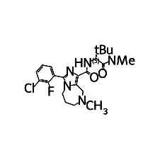 CNC(=O)[C@@H](NC(=O)c1nc(-c2cccc(Cl)c2F)n2c1CN(C)CCC2)C(C)(C)C